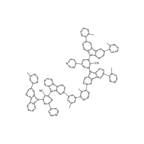 Cc1cccc(-c2ccc3c4ccccc4n(-c4cc(-c5ccncc5)cc(-n5c6ccccc6c6ccc(-c7cc(C)cc(-c8cccc(-c9ccc%10c(c9)c9cc(-c%11ccccc%11C)ccc9n%10-c9cc(-c%10ccncc%10)cc(-n%10c%11ccc(-c%12ccccc%12C)cc%11c%11cc(-c%12ccccc%12C)ccc%11%10)c9C#N)c8C)c7)cc65)c4C#N)c3c2)c1